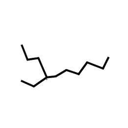 CCCCCC[C](CC)CCC